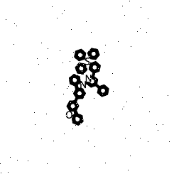 c1ccc(-c2cc(-c3cccc(S(c4ccccc4)(c4ccccc4)c4ccccc4)c3)nc(-n3c4ccccc4c4cc(-c5ccc6oc7ccccc7c6c5)ccc43)c2)cc1